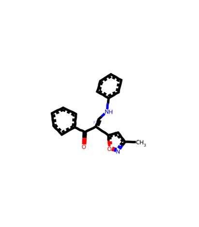 Cc1cc(/C(=C\Nc2ccccc2)C(=O)c2ccccc2)on1